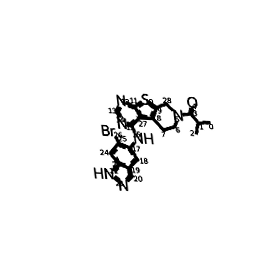 CC(C)C(=O)N1CCc2c(sc3ncnc(Nc4cc5cn[nH]c5cc4Br)c23)C1